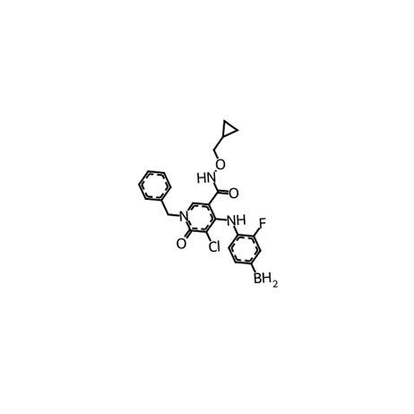 Bc1ccc(Nc2c(C(=O)NOCC3CC3)cn(Cc3ccccc3)c(=O)c2Cl)c(F)c1